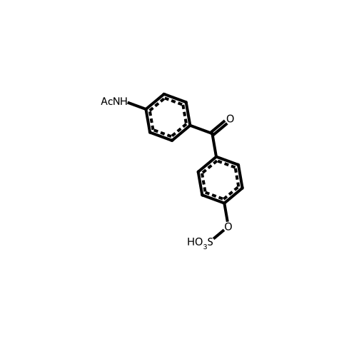 CC(=O)Nc1ccc(C(=O)c2ccc(OS(=O)(=O)O)cc2)cc1